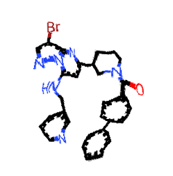 O=C(c1ccc(-c2ccccc2)cc1)N1CCCC(c2cc(NCc3cccnc3)n3ncc(Br)c3n2)C1